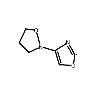 [c]1nc(N2CCCO2)co1